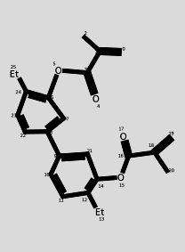 C=C(C)C(=O)Oc1cc(-c2ccc(CC)c(OC(=O)C(=C)C)c2)ccc1CC